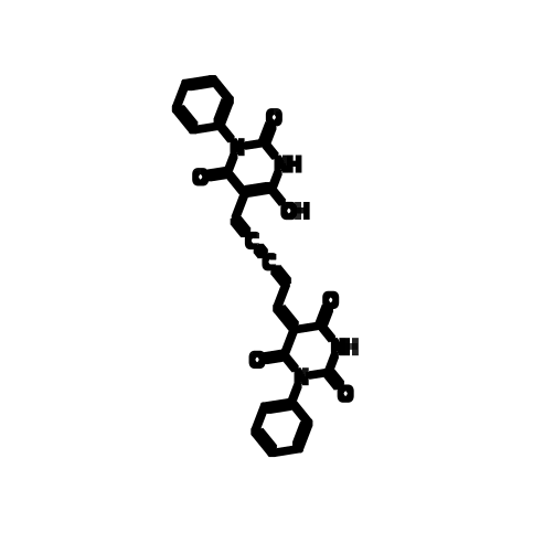 O=C1NC(=O)N(c2ccccc2)C(=O)C1=CC=C=C=Cc1c(O)[nH]c(=O)n(-c2ccccc2)c1=O